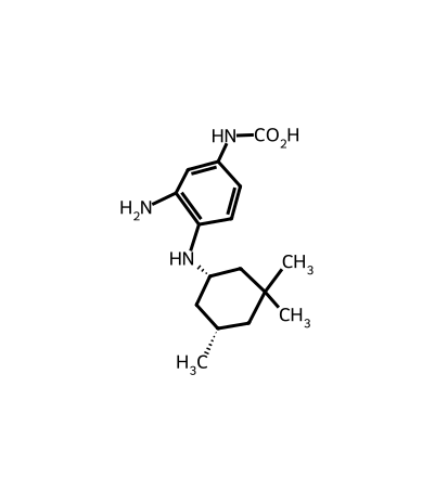 C[C@@H]1C[C@H](Nc2ccc(NC(=O)O)cc2N)CC(C)(C)C1